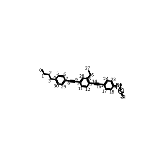 CCCCc1ccc(C#Cc2ccc(C#Cc3ccc(N=C=S)cc3)c(CC)c2)cc1